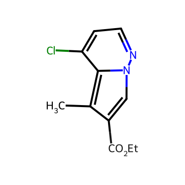 CCOC(=O)c1cn2nccc(Cl)c2c1C